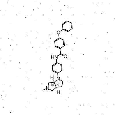 CN1C[C@@H]2CCN(c3ccc(NC(=O)c4ccc(Oc5ccccc5)cc4)cc3)[C@@H]2C1